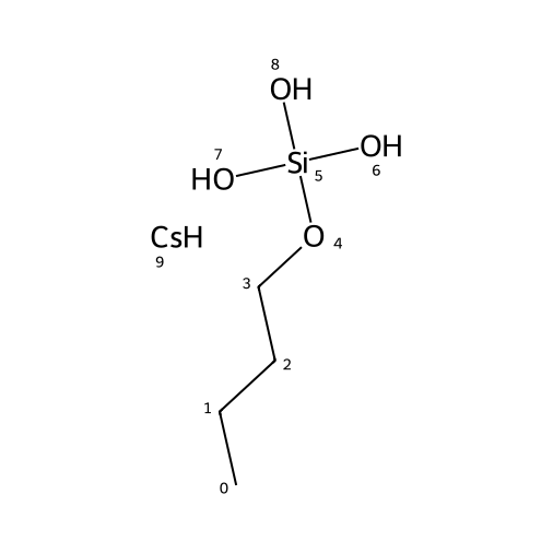 CCCCO[Si](O)(O)O.[CsH]